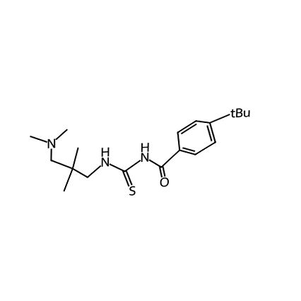 CN(C)CC(C)(C)CNC(=S)NC(=O)c1ccc(C(C)(C)C)cc1